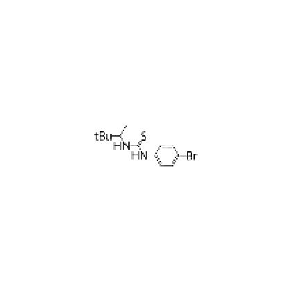 CC(NC(=S)Nc1ccc(Br)cc1)C(C)(C)C